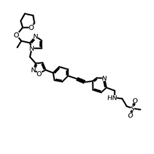 CC(OC1CCCCO1)c1nccn1Cc1cc(-c2ccc(C#Cc3ccc(CNCCS(C)(=O)=O)nc3)cc2)on1